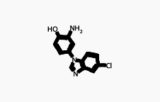 Nc1cc(-n2cnc3cc(Cl)ccc32)ccc1O